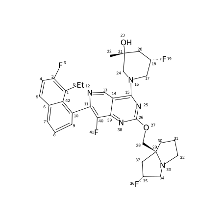 CCc1c(F)ccc2cccc(-c3ncc4c(N5C[C@@H](F)C[C@@](C)(O)C5)nc(OC[C@@]56CCCN5C[C@H](F)C6)nc4c3F)c12